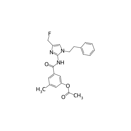 CC(=O)Oc1cc(C)cc(C(=O)Nc2nc(CF)cn2CCc2ccccc2)c1